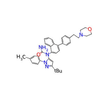 Cc1ccc(-n2nc(C(C)(C)C)cc2N(C(N)=O)c2ccc(-c3ccc(CCN4CCOCC4)cc3)c3ccccc23)cc1